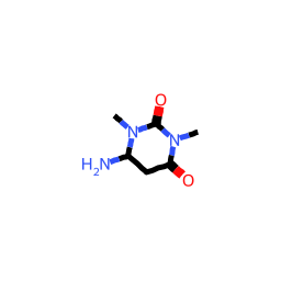 CN1C(=O)CC(N)N(C)C1=O